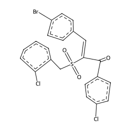 O=C(C(=Cc1ccc(Br)cc1)S(=O)(=O)Cc1ccccc1Cl)c1ccc(Cl)cc1